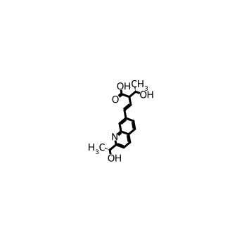 C[C@H](O)C(/C=C/c1ccc2ccc([C@@H](C)O)nc2c1)C(=O)O